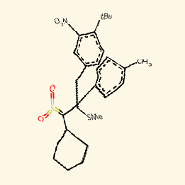 CSC(Cc1ccc(C(C)(C)C)c([N+](=O)[O-])c1)(C(C1CCCCC1)=S(=O)=O)c1ccc(C)cc1